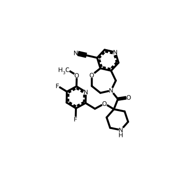 COc1nc(COC2(C(=O)N3CCOc4c(C#N)cncc4C3)CCNCC2)c(F)cc1F